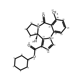 O=C(OC1CCCCC1)c1ncn2c1[C@@H]1CCCN1C(=O)c1c-2cccc1C(F)(F)F